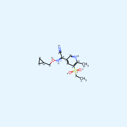 CCS(=O)(=O)c1cc(/C(C#N)=N/OCC2CC2)cnc1C